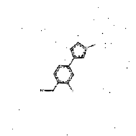 Cn1ccc(-c2ccc(CBr)c(F)c2)c1